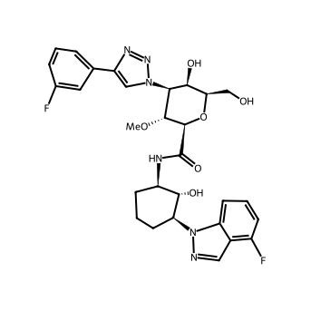 CO[C@@H]1[C@@H](n2cc(-c3cccc(F)c3)nn2)[C@@H](O)[C@@H](CO)O[C@H]1C(=O)N[C@@H]1CCC[C@H](n2ncc3c(F)cccc32)[C@H]1O